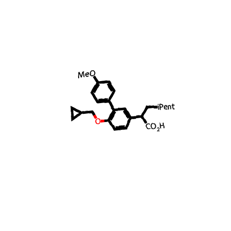 CCCC(C)CC(C(=O)O)c1ccc(OCC2CC2)c(-c2ccc(OC)cc2)c1